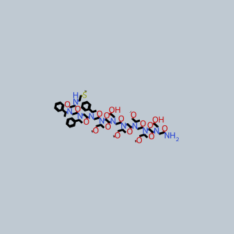 COCC(C)N(CC(=O)N(CC(N)=O)CC(=O)O)C(=O)CN(C(=O)CN(C(=O)CN(CC(=O)O)C(=O)CN(C(=O)CN(C(=O)CN(C(=O)CN(C(=O)CNCCSC)C(C)c1ccccc1)C(C)c1ccccc1)C(C)c1ccccc1)C(C)COC)C(C)COC)C(C)COC